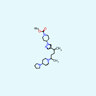 CC(CCC(C)N1CCC(N2CCCC2)CC1)c1cnn(C2CCN(C(=O)OC(C)(C)C)CC2)c1